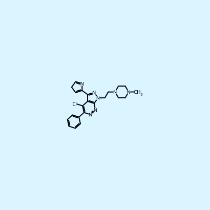 CN1CCN(CCn2nc(C3=CCC=N3)c3c(Cl)c(-c4ccccc4)nnc32)CC1